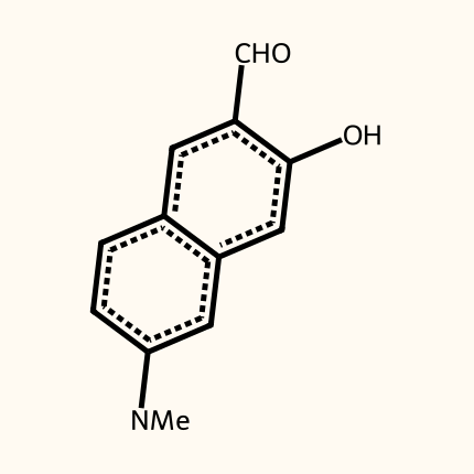 CNc1ccc2cc(C=O)c(O)cc2c1